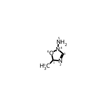 CC1N=CN(N)O1